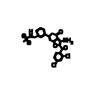 CS(=O)(=O)NCc1cccc(C2=Cc3oc(C(=O)c4ccc(Cl)cc4Cl)c(N)c3C(=O)C2)c1